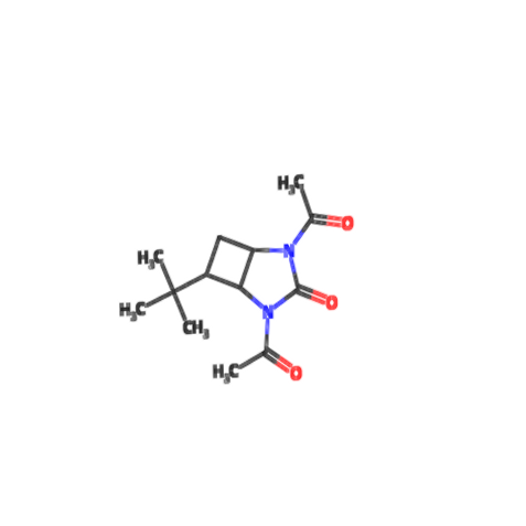 CC(=O)N1C(=O)N(C(C)=O)C2C1CC2C(C)(C)C